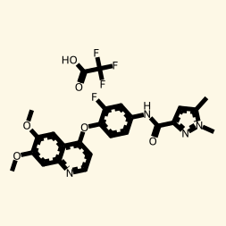 COc1cc2nccc(Oc3ccc(NC(=O)c4cc(C)n(C)n4)cc3F)c2cc1OC.O=C(O)C(F)(F)F